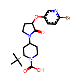 CC(C)(C)[C@@H]1CC(N2CCC(Oc3ccc(Br)nc3)C2=O)CCN1C(=O)O